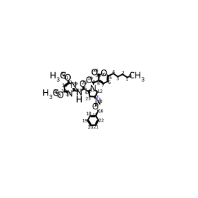 CCCCCc1ccc(C(=O)N2C/C(=N/OCc3ccccc3)C[C@H]2C(=O)Nc2nc(OC)cc(OC)n2)c(=O)o1